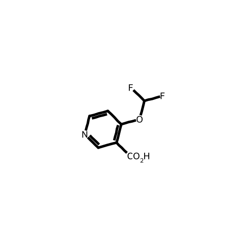 O=C(O)c1cnccc1OC(F)F